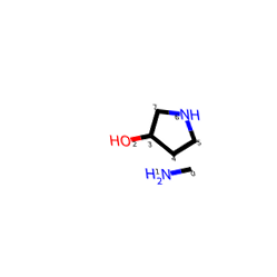 CN.OC1CCNC1